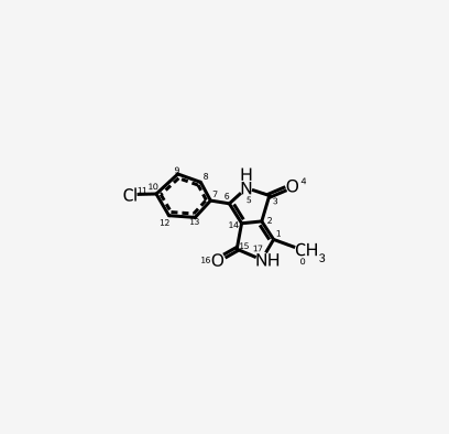 CC1=C2C(=O)NC(c3ccc(Cl)cc3)=C2C(=O)N1